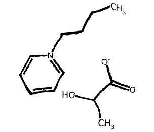 CC(O)C(=O)[O-].CCCC[n+]1ccccc1